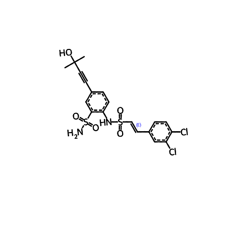 CC(C)(O)C#Cc1ccc(NS(=O)(=O)/C=C/c2ccc(Cl)c(Cl)c2)c(S(N)(=O)=O)c1